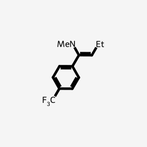 CC/C=C(\NC)c1ccc(C(F)(F)F)cc1